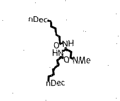 CCCCCCCCCCCCCCCC(=O)NC(CCNC)NC(=O)CCCCCCCCCCCCCCC